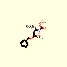 CCOC(=O)C(CC(C)OCc1ccccc1)NC(=O)OC(C)(C)C